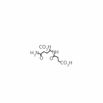 NC(=O)CCC(NC(=O)CCC(=O)O)C(=O)O